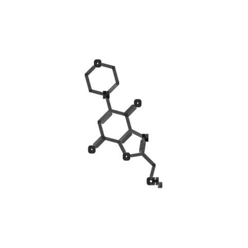 CCc1nc2c(o1)C(=O)C=C(N1CCOCC1)C2=O